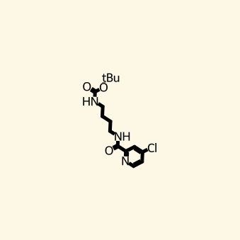 CC(C)(C)OC(=O)NCCCCNC(=O)c1cc(Cl)ccn1